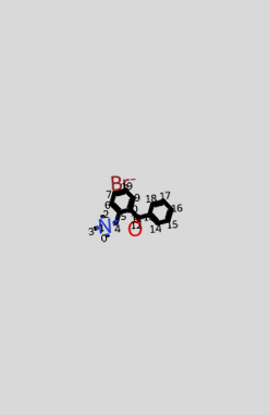 C[N+](C)(C)Cc1ccccc1C(=O)c1ccccc1.[Br-]